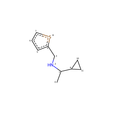 CC(NCc1cccs1)C1CC1